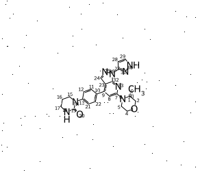 C[C@@H]1COCCN1c1cc(-c2ccc(N3CCCNC3=O)cc2)c2cnn(-c3cc[nH]n3)c2n1